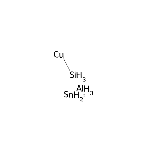 [AlH3].[SiH3][Cu].[SnH2]